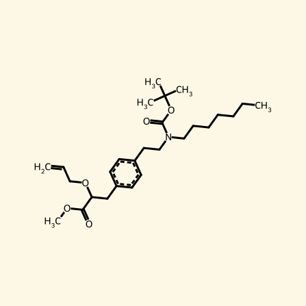 C=CCOC(Cc1ccc(CCN(CCCCCCC)C(=O)OC(C)(C)C)cc1)C(=O)OC